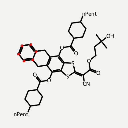 CCCCCC1CCC(C(=O)Oc2c3c(c(OC(=O)C4CCC(CCCCC)CC4)c4c2C2c5ccccc5C4c4ccccc42)SC(=C(C#N)C(=O)OCCC(C)(C)O)S3)CC1